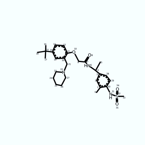 Cc1cc(C(C)NC(=O)COc2ccc(C(C)(C)C)cc2CN2CCCCC2)ccc1NS(C)(=O)=O